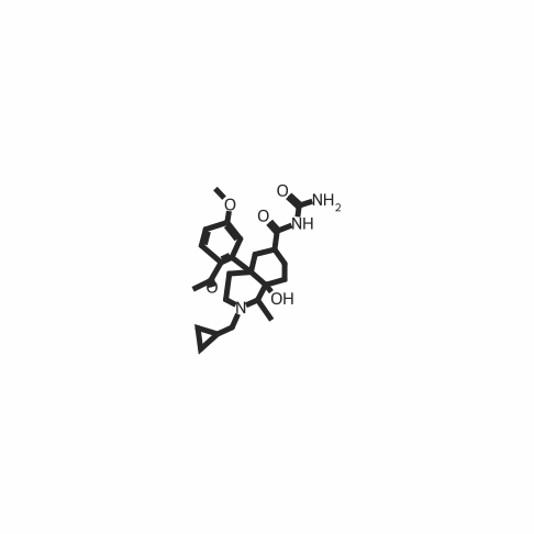 COc1ccc(C(C)=O)c(C23CCN(CC4CC4)C(C)C2(O)CCC(C(=O)NC(N)=O)C3)c1